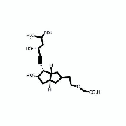 CCCCC(C)C[C@@H](O)C#C[C@@H]1[C@@H]2CC(CCOCC(=O)O)C[C@@H]2C[C@H]1O